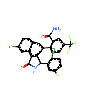 NC(=O)c1cc(C(F)(F)F)cc(F)c1-c1cc2ccc(Cl)cc2c2c1C(c1cc(F)ccc1Cl)NC2=O